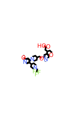 C=N/C(=C\C1=C(C)OCCC1CC(=O)O)OCC1CCN(c2cc(OC)ncc2C2CCN(CC(F)(F)F)CC2)CC1